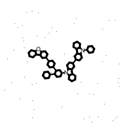 c1ccc(-c2ccc(-n3c4ccccc4c4cc(-c5ccc6c(c5)c5ccccc5n6-c5ccccc5)ccc43)cc2-c2ccc(-c3ccc4oc5ccccc5c4c3)cc2)cc1